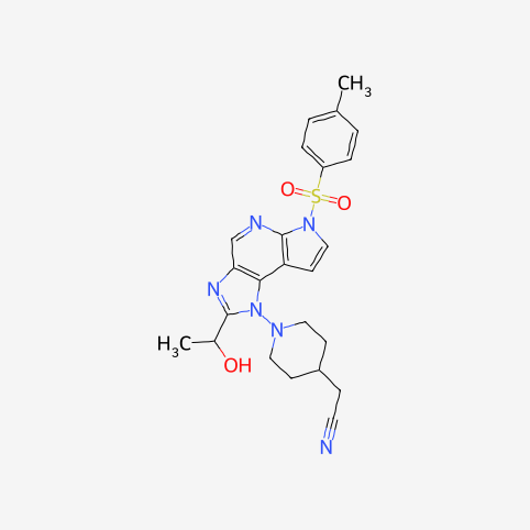 Cc1ccc(S(=O)(=O)n2ccc3c2ncc2nc(C(C)O)n(N4CCC(CC#N)CC4)c23)cc1